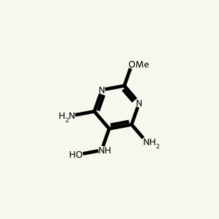 COc1nc(N)c(NO)c(N)n1